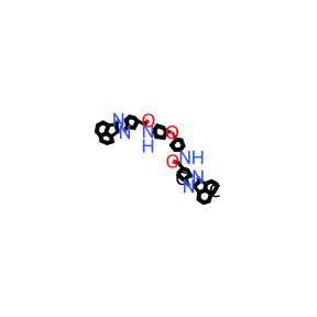 O=C(Nc1ccc(Oc2ccc(NC(=O)c3ccc4nc5c(nc4c3)-c3cccc4cccc-5c34)cc2)cc1)c1ccc2nc3c(nc2c1)-c1cccc2cccc-3c12